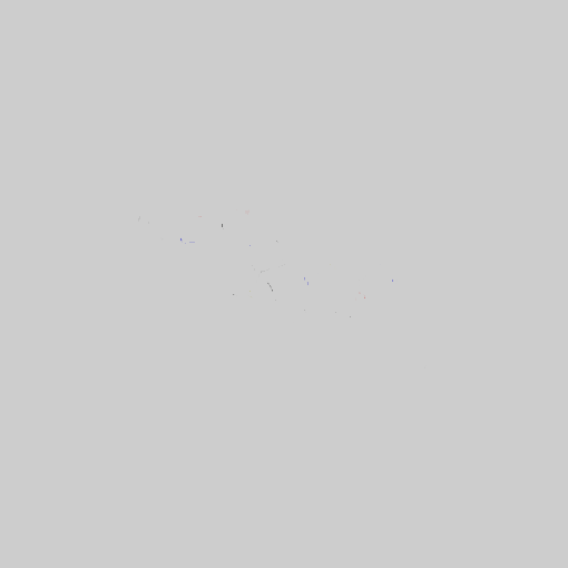 CC(=O)NCC1=C(C(=O)O)N2C(=O)C(N(Sc3nnc(-c4ccccc4)o3)C(C)=O)[C@@H]2SC1